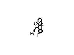 O=c1c(C(CC#CSI)c2cc(F)ccc2F)ccc2n1CCC2